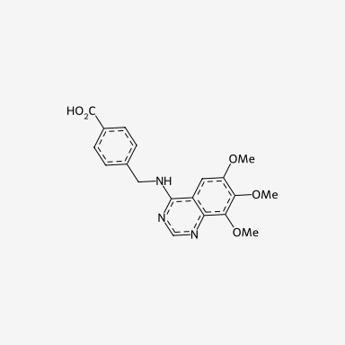 COc1cc2c(NCc3ccc(C(=O)O)cc3)ncnc2c(OC)c1OC